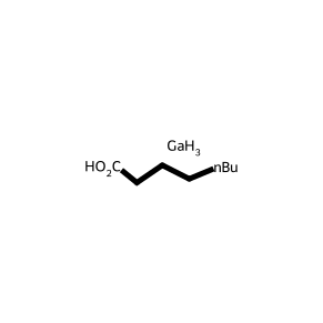 CCCCCCCC(=O)O.[GaH3]